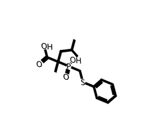 CC(C)CC(C)(C(=O)O)P(=O)(O)CSc1ccccc1